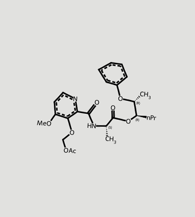 CCC[C@@H](OC(=O)[C@H](C)NC(=O)c1nccc(OC)c1OCOC(C)=O)[C@@H](C)Oc1ccccc1